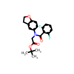 CC(C)(C)OC(=O)CN(C(=O)c1c(F)cccc1F)c1ccc2c(c1)CCO2